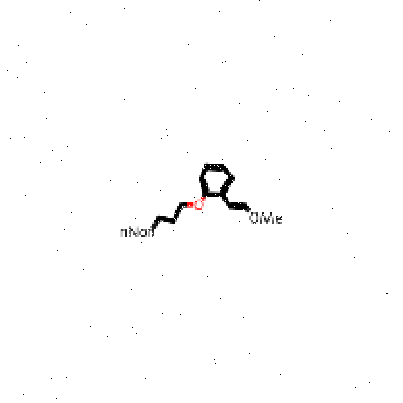 CCCCCCCCCCCCOc1ccccc1C=COC